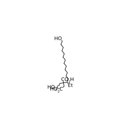 CCC(CCCCCCCCCCCCCO)C(CC(=O)O)(CC(=O)O)C(=O)O